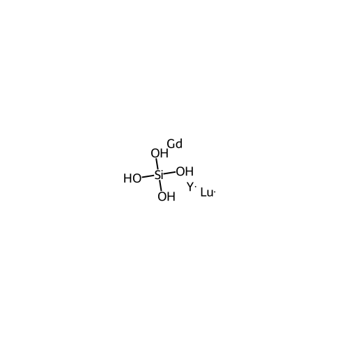 O[Si](O)(O)O.[Gd].[Lu].[Y]